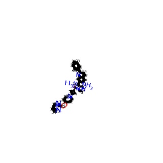 NC1=NC=CN(C(I)[C@H]2C[C@@H](N3CCC(Oc4ncccn4)CC3)C2)/C1=C(\N)c1ccc2ccc(-c3ccccc3)nc2c1